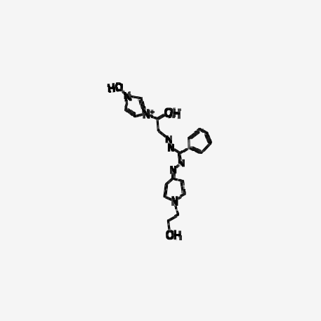 OCCn1ccc(=NN=C(N=NCC(O)[n+]2ccn(O)c2)c2ccccc2)cc1